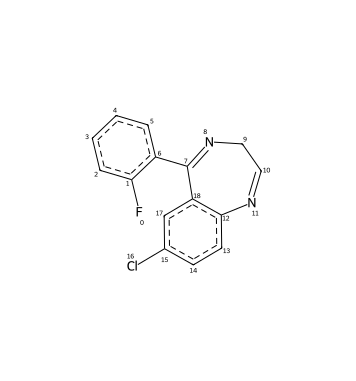 Fc1ccccc1C1=NCC=Nc2ccc(Cl)cc21